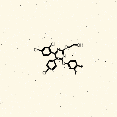 OCCOc1nc(Oc2ccc(F)c(F)c2)c(-c2ccc(Cl)cc2)c(-c2ccc(Cl)cc2Cl)n1